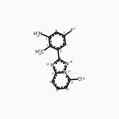 Cc1c(N)cc(F)cc1-c1nc2cccc(Cl)n2n1